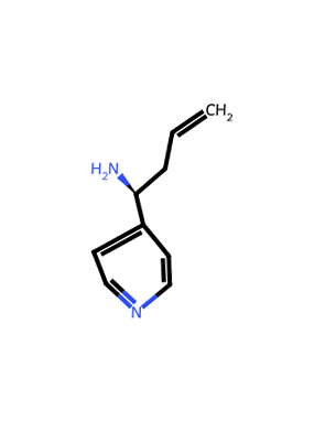 C=CC[C@H](N)c1ccncc1